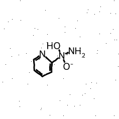 N[N+]([O-])(O)c1ccccn1